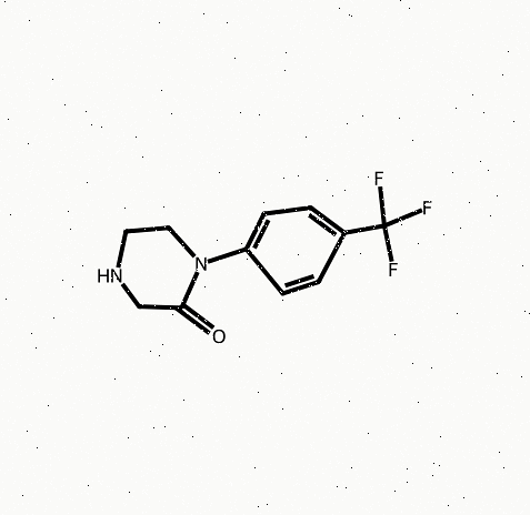 O=C1CNCCN1c1ccc(C(F)(F)F)cc1